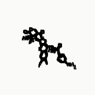 CC[C@@]1(O)C(=O)OCc2c1cc1n(c2=O)Cc2c-1nc1cc(F)c(C)cc1c2CNC(=O)c1ccc(N)cc1